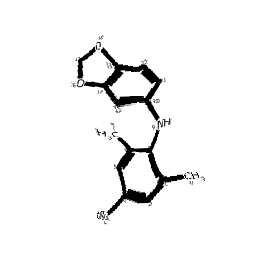 Cc1cc(C(C)(C)C)cc(C)c1Nc1ccc2c(c1)OCO2